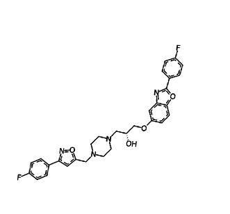 O[C@@H](COc1ccc2oc(-c3ccc(F)cc3)nc2c1)CN1CCN(Cc2cc(-c3ccc(F)cc3)no2)CC1